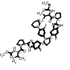 COC(=O)NC(C(=O)N1CCC[C@H]1c1nc2cc([C@H]3CC[C@H](c4cc5nc([C@@H]6CCCN6C(=O)[C@@H](NC(=O)OC)C(C)C)[nH]c5cc4F)N3c3ccc(N4CCCCC4)c(F)c3)c(F)cc2[nH]1)C(C)C